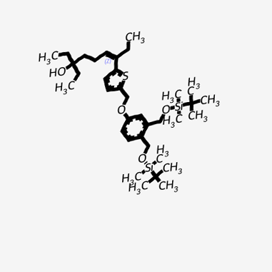 CC/C(=C/CCC(O)(CC)CC)c1ccc(COc2ccc(CO[Si](C)(C)C(C)(C)C)c(CO[Si](C)(C)C(C)(C)C)c2)s1